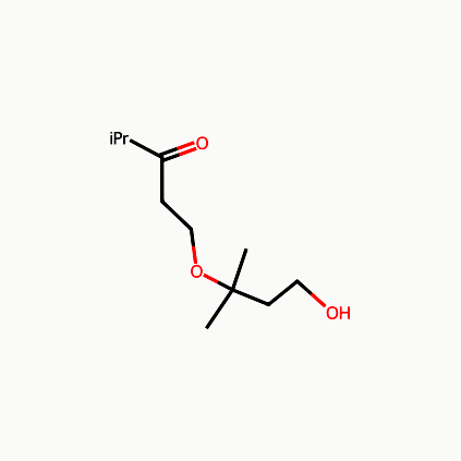 CC(C)C(=O)CCOC(C)(C)CCO